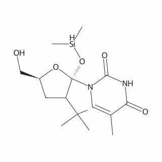 Cc1cn([C@]2(O[SiH](C)C)O[C@H](CO)CC2C(C)(C)C)c(=O)[nH]c1=O